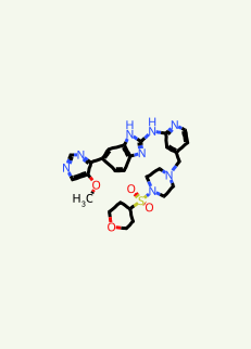 COc1cncnc1-c1ccc2nc(Nc3cc(CN4CCN(S(=O)(=O)C5CCOCC5)CC4)ccn3)[nH]c2c1